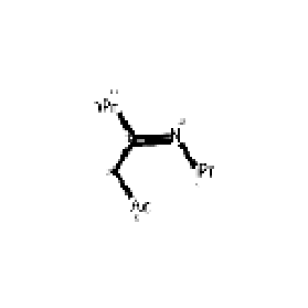 CCCC(CC(C)=O)=NC(C)C